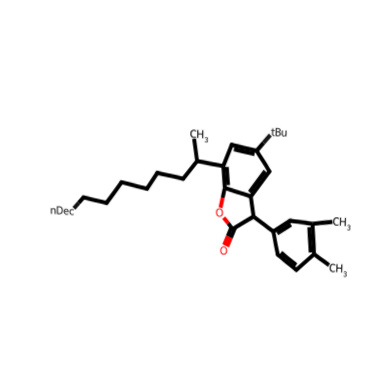 CCCCCCCCCCCCCCCCC(C)c1cc(C(C)(C)C)cc2c1OC(=O)C2c1ccc(C)c(C)c1